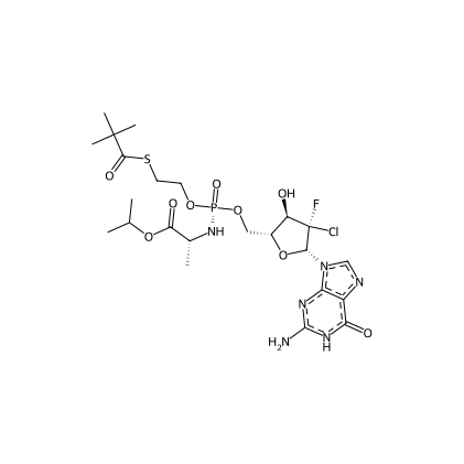 CC(C)OC(=O)[C@@H](C)N[P@@](=O)(OCCSC(=O)C(C)(C)C)OC[C@H]1O[C@@H](n2cnc3c(=O)[nH]c(N)nc32)[C@](F)(Cl)[C@@H]1O